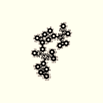 c1ccc([Si](c2ccccc2)(c2ccc(-c3nc(-n4c5ccccc5c5ccccc54)nc(-n4c5ccccc5n5c6ccccc6nc45)n3)cc2)c2cccc(-n3c4ccccc4c4cc(-c5ccc6c(c5)n5c7ccccc7nc5n6-c5nc(-c6ccc([Si](c7ccccc7)(c7ccccc7)c7cccc8c7sc7ccccc78)cc6)nc(-n6c7ccccc7c7ccccc76)n5)ccc43)c2)cc1